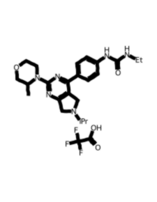 CCNC(=O)Nc1ccc(-c2nc(N3CCOCC3C)nc3c2CN(C(C)C)C3)cc1.O=C(O)C(F)(F)F